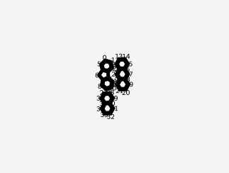 c1ccc2c(c1)Cc1ccccc1-2.c1ccc2cc3ccccc3cc2c1.c1ccc2ccccc2c1